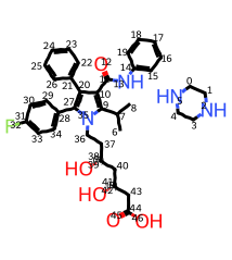 C1CNCCN1.CC(C)c1c(C(=O)Nc2ccccc2)c(-c2ccccc2)c(-c2ccc(F)cc2)n1CC[C@@H](O)C[C@@H](O)CC(=O)O